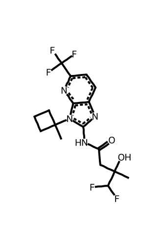 CC(O)(CC(=O)Nc1nc2ccc(C(F)(F)F)nc2n1C1(C)CCC1)C(F)F